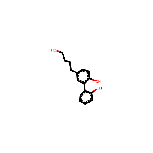 OCCCCc1ccc(O)c(-c2ccccc2O)c1